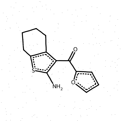 Nc1sc2c(c1C(=O)c1ccco1)CCCC2